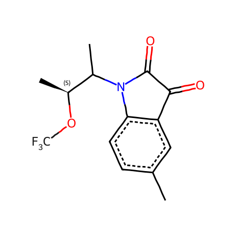 Cc1ccc2c(c1)C(=O)C(=O)N2C(C)[C@H](C)OC(F)(F)F